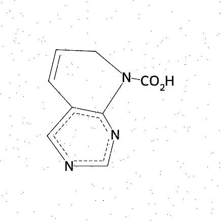 O=C(O)N1CC=Cc2cncnc21